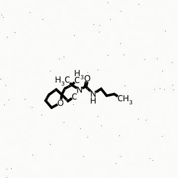 CCCCNC(=O)N1CCC2(CCCCO2)CC1(C)C